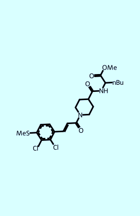 CCCCC(NC(=O)C1CCN(C(=O)C=Cc2ccc(SC)c(Cl)c2Cl)CC1)C(=O)OC